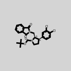 CC(C)(C)OC(=O)N1CC[C@H](c2ccc(Cl)c(Cl)c2)[C@@H]1CN1C(=O)c2ccccc2C1=O